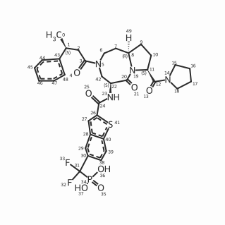 C[C@@H](CC(=O)N1CC[C@H]2CC[C@@H](C(=O)N3CCCC3)N2C(=O)[C@@H](NC(=O)c2cc3cc(C(F)(F)P(=O)(O)O)ccc3s2)C1)c1ccccc1